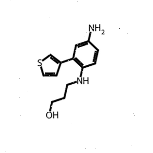 Nc1ccc(NCCCO)c(-c2ccsc2)c1